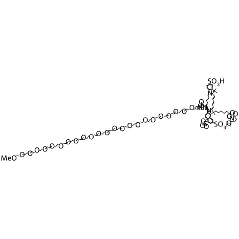 CCCCN1C(=CC=CC=CC2=[N+](CCCCCC(=O)NCCOCCOCCOCCOCCOCCOCCOCCOCCOCCOCCOCCOCCOCCOCCOCCOCCOCCOCCOCCOCCOCCOCCOCCOC)c3ccc(S(=O)(=O)O)cc3C2(C)C)C(C)(CCCCCC(=O)ON2C(=O)CCC2=O)c2c1ccc1c(S(=O)(=O)[O-])cc(S(=O)(=O)O)cc21